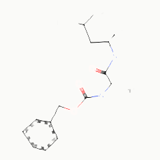 CC(C)[C@H](NC(=O)OCc1ccccc1)C(=O)N[C@@H](CC(C(=O)O)C(C)(C)C)C(=O)O